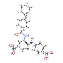 O=C(Nc1cc([N+](=O)[O-])ccc1Nc1ccc([N+](=O)[O-])cc1)c1ccc(-c2ccccc2)cc1